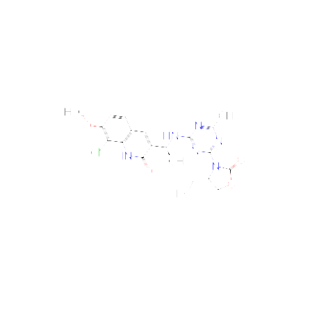 CC[C@H]1COC(=O)N1c1nc(C)nc(N[C@@H](C)c2cc3ccc(OC)c(Cl)c3[nH]c2=O)n1